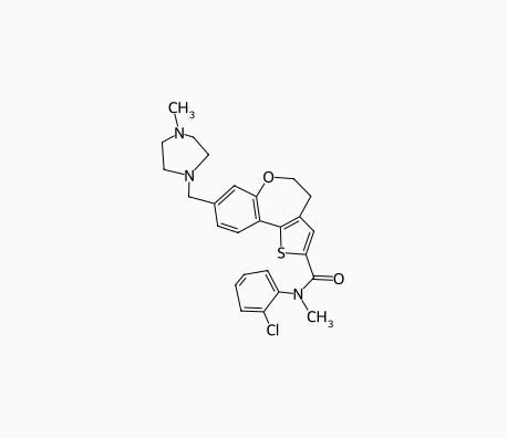 CN1CCN(Cc2ccc3c(c2)OCCc2cc(C(=O)N(C)c4ccccc4Cl)sc2-3)CC1